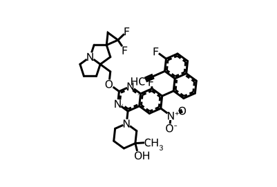 C#Cc1c(F)ccc2cccc(-c3c([N+](=O)[O-])cc4c(N5CCCC(C)(O)C5)nc(OCC56CCCN5CC5(C6)CC5(F)F)nc4c3F)c12